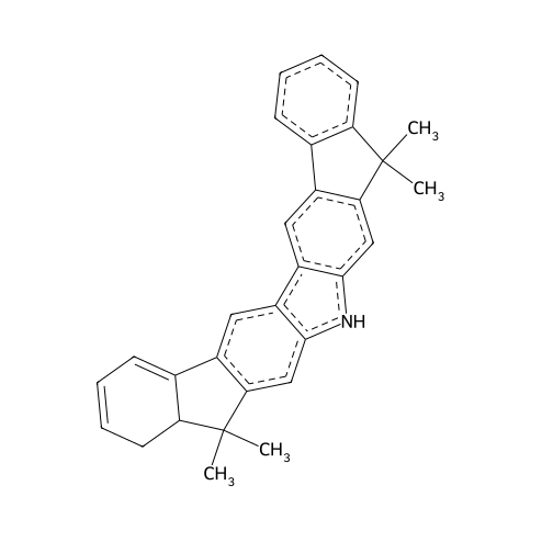 CC1(C)c2ccccc2-c2cc3c(cc21)[nH]c1cc2c(cc13)C1=CC=CCC1C2(C)C